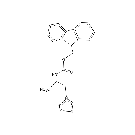 O=C(NC(Cn1cncn1)C(=O)O)OCC1c2ccccc2-c2ccccc21